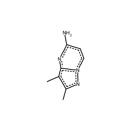 Cc1nn2ccc(N)nc2c1C